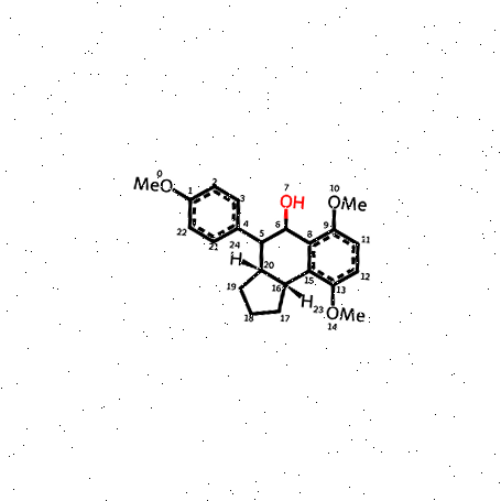 COc1ccc(C2C(O)c3c(OC)ccc(OC)c3[C@@H]3CCC[C@H]23)cc1